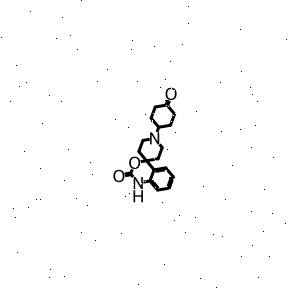 O=C1CCC(N2CCC3(CC2)OC(=O)Nc2ccccc23)CC1